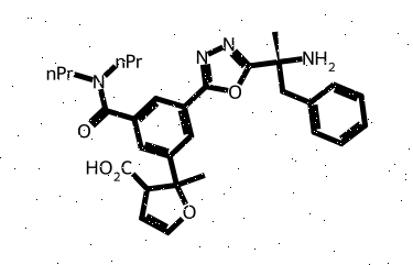 CCCN(CCC)C(=O)c1cc(-c2nnc([C@](C)(N)Cc3ccccc3)o2)cc(C2(C)OC=CC2C(=O)O)c1